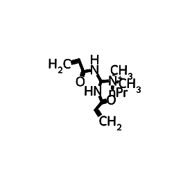 C=CC(=O)NC(NC(=O)C=C)[N+](C)(C)CCC